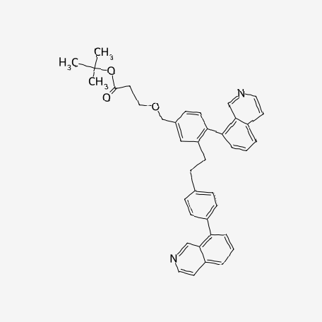 CC(C)(C)OC(=O)CCOCc1ccc(-c2cccc3ccncc23)c(CCc2ccc(-c3cccc4ccncc34)cc2)c1